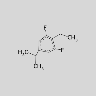 CCc1c(F)cc(C(C)C)cc1F